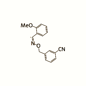 COc1ccccc1/[C]=N\OCc1cccc(C#N)c1